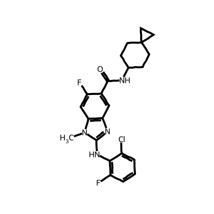 Cn1c(Nc2c(F)cccc2Cl)nc2cc(C(=O)NC3CCC4(CC3)CC4)c(F)cc21